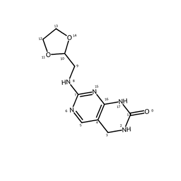 O=C1NCc2cnc(NCC3OCCO3)nc2N1